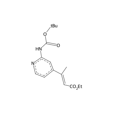 CCOC(=O)/C=C(\C)c1ccnc(NC(=O)OC(C)(C)C)c1